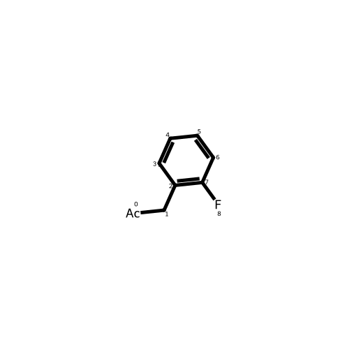 CC(=O)Cc1[c]cccc1F